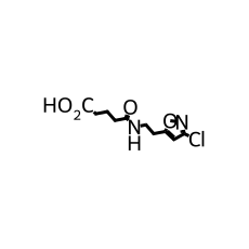 O=C(O)CCCC(=O)NCCc1cc(Cl)no1